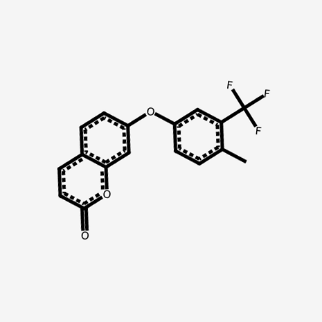 Cc1ccc(Oc2ccc3ccc(=O)oc3c2)cc1C(F)(F)F